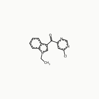 CCn1cc(C(=O)c2cc(Cl)ncn2)c2ccccc21